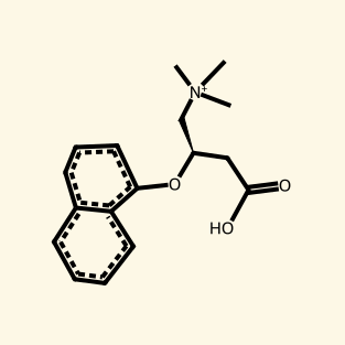 C[N+](C)(C)C[C@@H](CC(=O)O)Oc1cccc2ccccc12